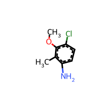 COc1c(Cl)ccc(N)c1C